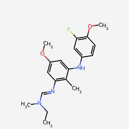 CCN(C)/C=N/c1cc(OC)cc(Nc2ccc(OC)c(F)c2)c1C